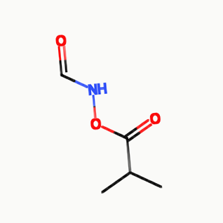 CC(C)C(=O)ONC=O